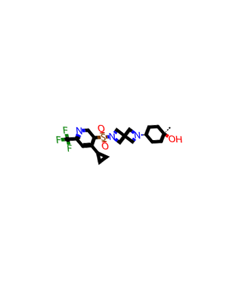 C[C@]1(O)CC[C@H](N2CC3(CN(S(=O)(=O)C4CN=C(C(F)(F)F)C=C4C4CC4)C3)C2)CC1